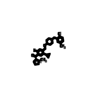 C[C@@H]1CCC[C@H]1C(=O)c1cc(C2CC2)c(COC2CCN(Cc3cc(C(F)(F)F)ccc3Cl)CC2)cc1F